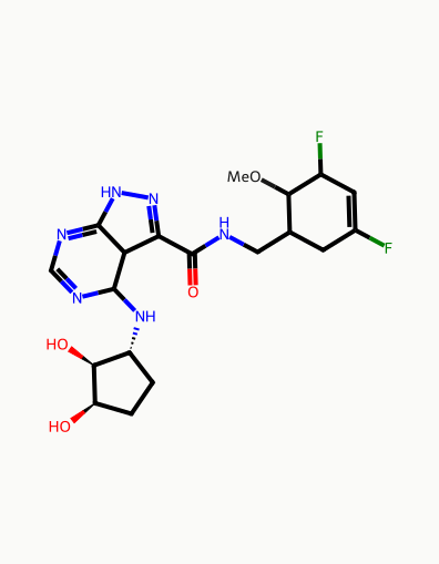 COC1C(F)C=C(F)CC1CNC(=O)C1=NNC2=NC=NC(N[C@@H]3CC[C@@H](O)[C@H]3O)C21